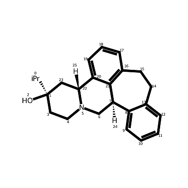 CC(C)[C@@]1(O)CCN2C[C@@H]3c4ccccc4CCc4cccc(c43)[C@H]2C1